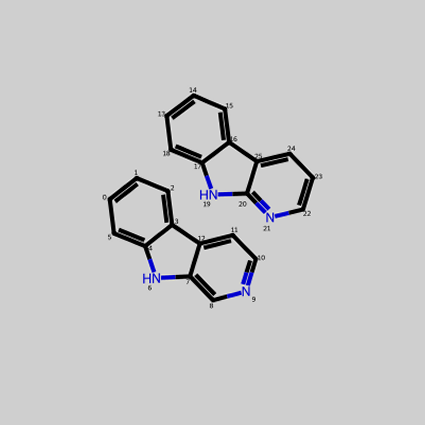 c1ccc2c(c1)[nH]c1cnccc12.c1ccc2c(c1)[nH]c1ncccc12